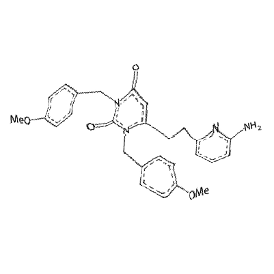 COc1ccc(Cn2c(CCc3cccc(N)n3)cc(=O)n(Cc3ccc(OC)cc3)c2=O)cc1